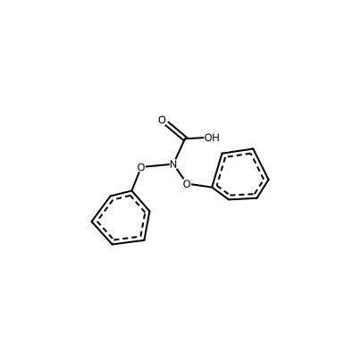 O=C(O)N(Oc1ccccc1)Oc1ccccc1